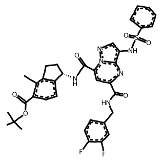 Cc1c(C(=O)OC(C)(C)C)ccc2c1CC[C@@H]2NC(=O)c1cc(C(=O)NCc2ccc(F)c(F)c2)nc2c(NS(=O)(=O)c3ccccc3)cnn12